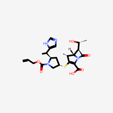 C=CCOC(=O)N1C[C@@H](SC2=C(C(=O)O)N3C(=O)[C@H]([C@@H](C)O)[C@H]3[C@H]2C)C[C@@H]1C(C)c1cnc[nH]1